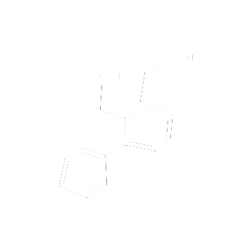 O=C(O)Cc1cccc(-c2ccccc2)c1CC(=O)O